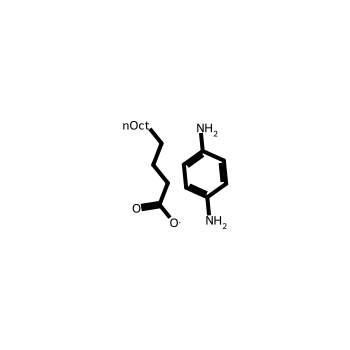 CCCCCCCCCCCC([O])=O.Nc1ccc(N)cc1